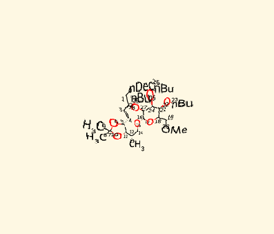 CCCCCCCCCCCCC=C[C@H]1OC(C)(C)O[C@H]1[C@@H](C)CO[C@H]1OC(COC)[C@H](OCCCC)[C@H](OCCCC)C1OCCCC